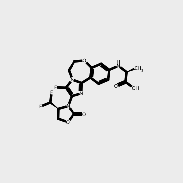 C[C@H](Nc1ccc2c(c1)OCCn1c-2nc(N2C(=O)OC[C@H]2C(F)F)c1F)C(=O)O